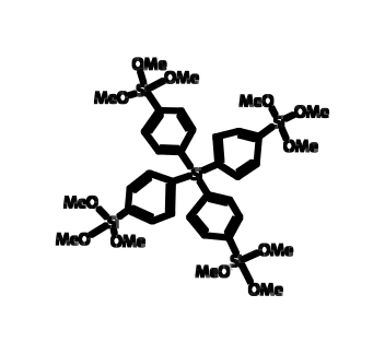 CO[Si](OC)(OC)c1ccc([Si](c2ccc([Si](OC)(OC)OC)cc2)(c2ccc([Si](OC)(OC)OC)cc2)c2ccc([Si](OC)(OC)OC)cc2)cc1